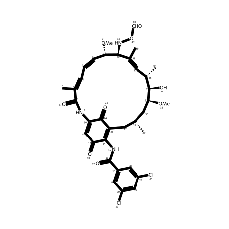 CO[C@H]1/C=C\C=C(/C)C(=O)NC2=CC(=O)C(NC(=O)c3cc(Cl)cc(Cl)c3)=C(C[C@@H](C)C[C@H](OC)[C@H](O)[C@@H](C)/C=C(\C)[C@@H]1NOC=O)C2=O